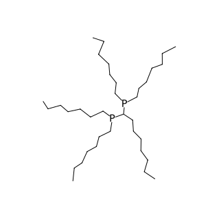 CCCCCCCC(P(CCCCCCC)CCCCCCC)P(CCCCCCC)CCCCCCC